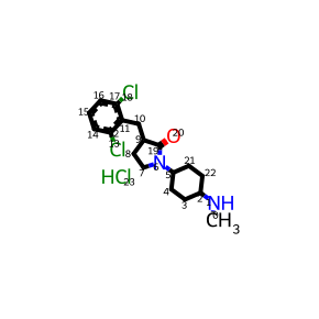 CNC1CCC(N2CCC(Cc3c(Cl)cccc3Cl)C2=O)CC1.Cl